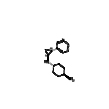 N[C@H]1CC[C@H](N[C@H]2C[C@@H]2c2cccnc2)CC1